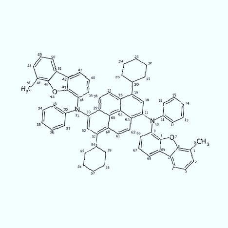 Cc1cccc2c1oc1c(N(c3ccccc3)c3cc(C4CCCCC4)c4ccc5c(N(c6ccccc6)c6cccc7c6oc6c(C)cccc67)cc(C6CCCCC6)c6ccc3c4c65)cccc12